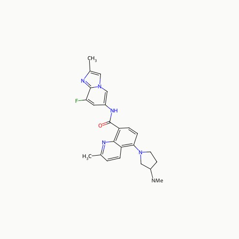 CNC1CCN(c2ccc(C(=O)Nc3cc(F)c4nc(C)cn4c3)c3nc(C)ccc23)C1